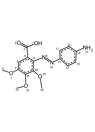 COc1cc(C(=O)O)c(/N=N/c2ccc(N)cc2)c(OC)c1OC